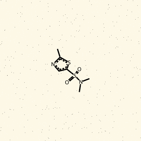 Cc1ncc(S(=O)(=O)N(C)C)s1